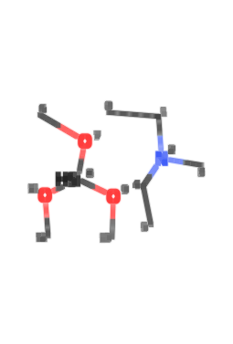 CCN(C)CC.CO[SiH](OC)OC